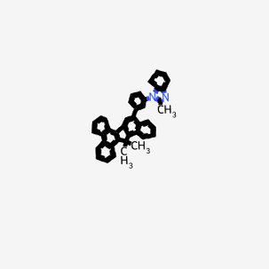 Cc1nc2ccccc2n1-c1cccc(-c2cc3c(c4ccccc24)C(C)(C)c2c-3c3ccccc3c3ccccc23)c1